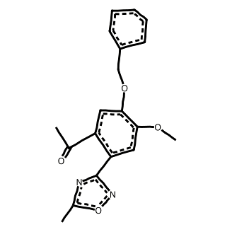 COc1cc(-c2noc(C)n2)c(C(C)=O)cc1OCc1ccccc1